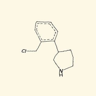 ClCc1ccccc1C1CCNC1